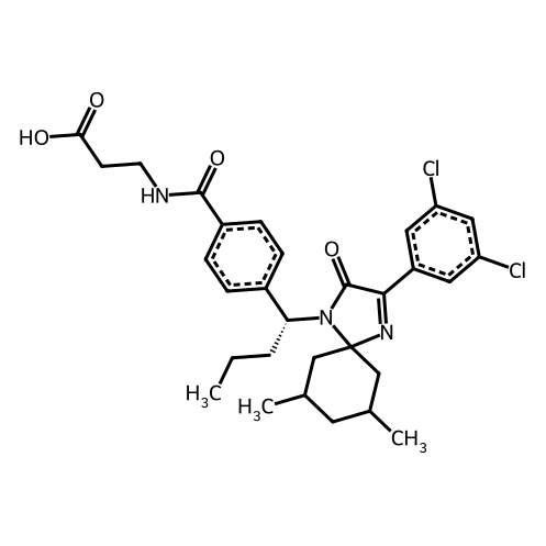 CCC[C@H](c1ccc(C(=O)NCCC(=O)O)cc1)N1C(=O)C(c2cc(Cl)cc(Cl)c2)=NC12CC(C)CC(C)C2